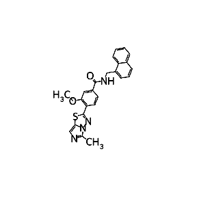 COc1cc(C(=O)NCc2cccc3ccccc23)ccc1-c1nn2c(C)ncc2s1